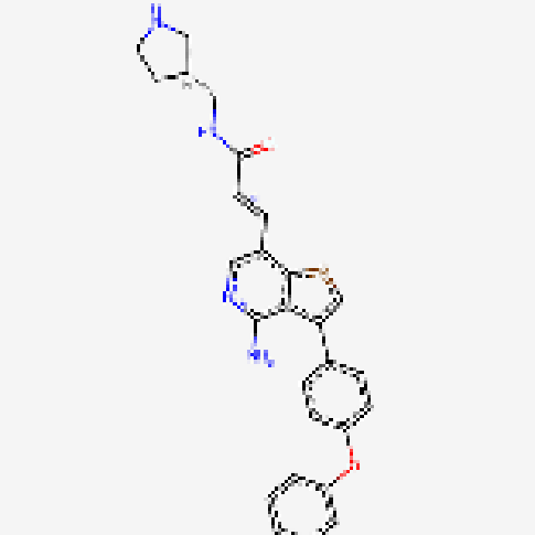 Nc1ncc(/C=C/C(=O)NC[C@@H]2CCNC2)c2scc(-c3ccc(Oc4ccccc4)cc3)c12